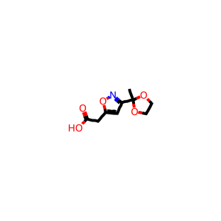 CC1(c2cc(CC(=O)O)on2)OCCO1